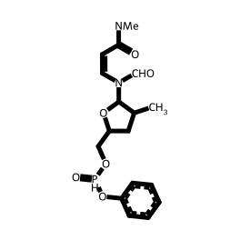 CNC(=O)/C=C\N(C=O)C1OC(CO[PH](=O)Oc2ccccc2)CC1C